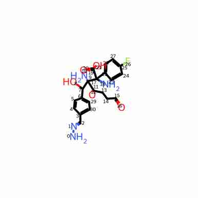 NN=Cc1ccc(C(O)C(N)(C(=O)CCC=O)C(N)(C(=O)O)c2ccc(F)cc2)cc1